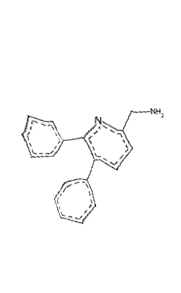 NCc1ccc(-c2ccccc2)c(-c2ccccc2)n1